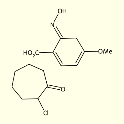 COC1=CC=C(C(=O)O)C(=NO)C1.O=C1CCCCCC1Cl